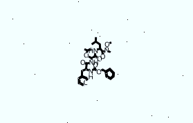 CON(C)C(=O)C(CC(C)C)NC(=O)C(NC(=O)C(Cc1ccccc1)NC(=O)OCc1ccccc1)OC(C)C